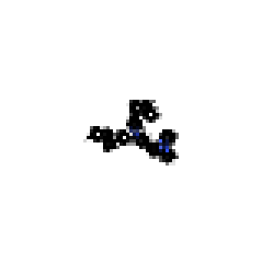 CC1C=Cc2ccc3c(-c4ccc(N(c5ccc(-c6ccc7c8ccccc8n(-c8ccccc8)c7c6)cc5)c5ccc(-c6cccc7c6-c6ccccc6C7(C)C)cc5)cc4)cccc3c2C1